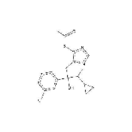 CC(=O)Sc1ncnn1CC(O)(c1cccc(Cl)c1)C(C)C1CC1